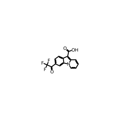 O=C(O)c1c2ccc(C(=O)C(F)(F)F)cc2n2ccccc12